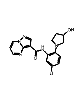 O=C(Nc1cc(Cl)ccc1N1CCC(O)C1)c1cnn2cccnc12